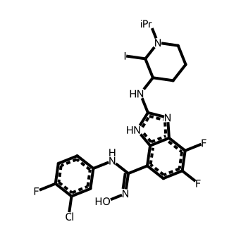 CC(C)N1CCCC(Nc2nc3c(F)c(F)cc(C(=NO)Nc4ccc(F)c(Cl)c4)c3[nH]2)C1I